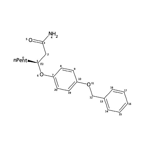 CCCCC[C@@H](CC(N)=O)Oc1ccc(OCc2ccccc2)cc1